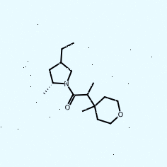 CCC1C[C@@H](C)N(C(=O)C(C)C2(C)CCOCC2)C1